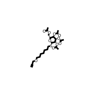 C#CCOCCCCCCCS[C@H]1O[C@H](COC(C)=O)[C@@H](OC(C)=O)[C@H](OC(C)=O)[C@@H]1OC(C)=O